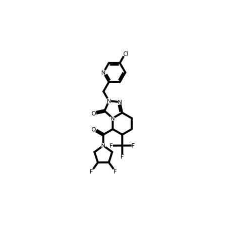 O=C(C1C(C(F)(F)F)CCc2nn(Cc3ccc(Cl)cn3)c(=O)n21)N1CC(F)C(F)C1